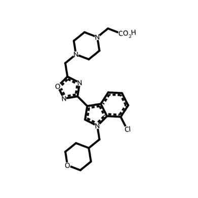 O=C(O)CN1CCN(Cc2nc(-c3cn(CC4CCOCC4)c4c(Cl)cccc34)no2)CC1